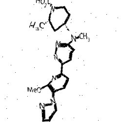 COc1nc(-c2ccc(N(C)[C@H]3CCN(C(=O)O)[C@@H](C)C3)nn2)ccc1-n1cccn1